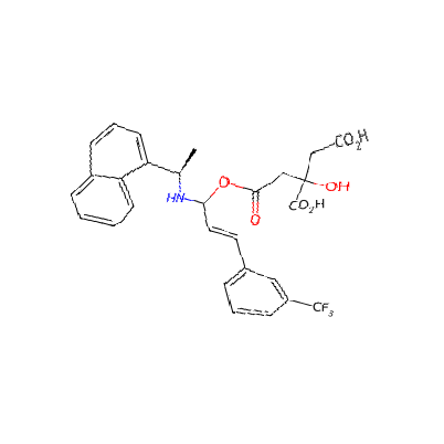 C[C@@H](NC(C=Cc1cccc(C(F)(F)F)c1)OC(=O)CC(O)(CC(=O)O)C(=O)O)c1cccc2ccccc12